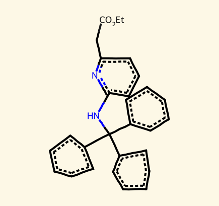 CCOC(=O)Cc1cccc(NC(c2ccccc2)(c2ccccc2)c2ccccc2)n1